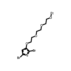 CCOCCOCCOCCOc1cc(Br)sc1Br